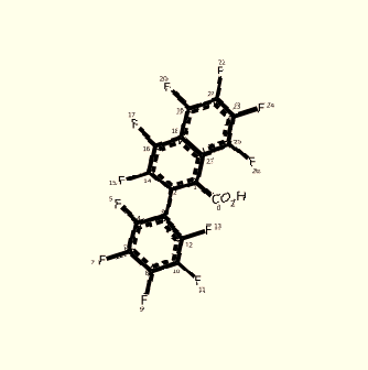 O=C(O)c1c(-c2c(F)c(F)c(F)c(F)c2F)c(F)c(F)c2c(F)c(F)c(F)c(F)c12